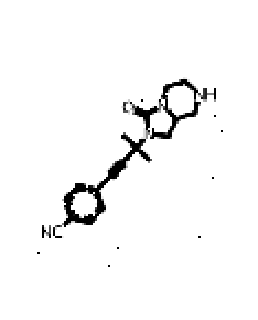 CC(C)(C#Cc1ccc(C#N)cc1)N1CC2CNCCN2C1=O